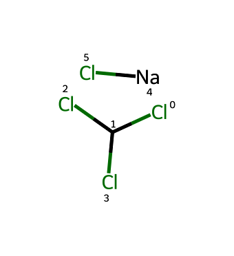 ClC(Cl)Cl.[Na][Cl]